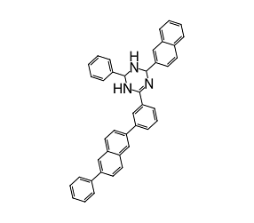 c1ccc(-c2ccc3cc(-c4cccc(C5=NC(c6ccc7ccccc7c6)NC(c6ccccc6)N5)c4)ccc3c2)cc1